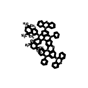 CC1(C)CCC(C)(C)c2cc(N3c4cc5c(cc4B4c6cc7c(cc6N(c6ccccc6)c6cc(N8c9ccccc9Sc9ccccc98)cc3c64)Oc3cc(N4c6ccccc6Sc6ccccc64)cc4c3B7c3ccccc3N4c3ccccc3)C(C)(C)CCC5(C)C)ccc21